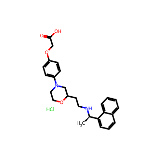 C[C@@H](NCCC1CN(c2ccc(OCC(=O)O)cc2)CCO1)c1cccc2ccccc12.Cl